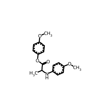 COc1ccc(NC(C)C(=O)Oc2ccc(OC)cc2)cc1